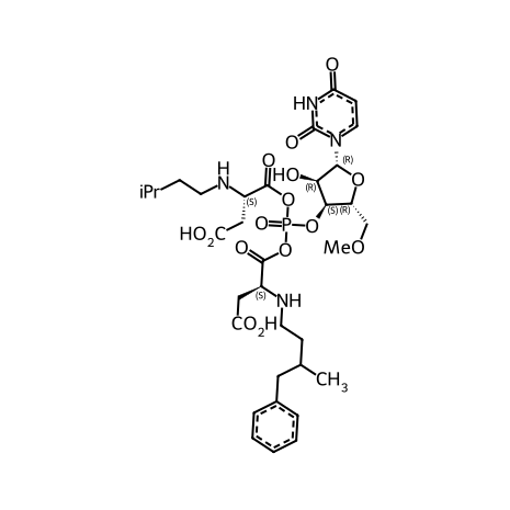 COC[C@H]1O[C@@H](n2ccc(=O)[nH]c2=O)[C@H](O)[C@@H]1OP(=O)(OC(=O)[C@H](CC(=O)O)NCCC(C)C)OC(=O)[C@H](CC(=O)O)NCCC(C)Cc1ccccc1